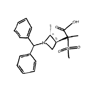 C[C@@H]1[C@@H](C(C)(C(=O)O)S(C)(=O)=O)CN1C(c1ccccc1)c1ccccc1